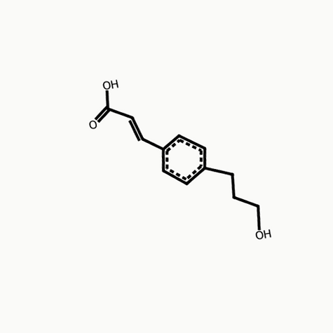 O=C(O)/C=C/c1ccc(CCCO)cc1